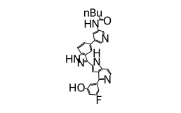 CCCCC(=O)Nc1cncc(-c2ccc3[nH]nc(-c4cc5c(-c6cc(O)cc(F)c6)nccc5[nH]4)c3c2)c1